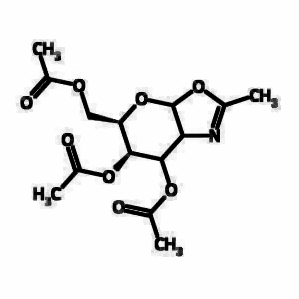 CC(=O)OC[C@H]1OC2OC(C)=NC2C(OC(C)=O)[C@H]1OC(C)=O